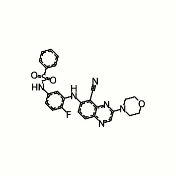 N#Cc1c(Nc2cc(NS(=O)(=O)c3ccccc3)ccc2F)ccc2ncc(N3CCOCC3)nc12